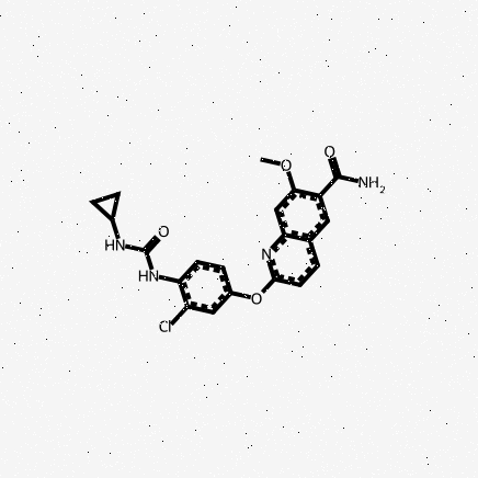 COc1cc2nc(Oc3ccc(NC(=O)NC4CC4)c(Cl)c3)ccc2cc1C(N)=O